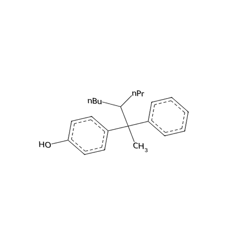 CCCCC(CCC)C(C)(c1ccccc1)c1ccc(O)cc1